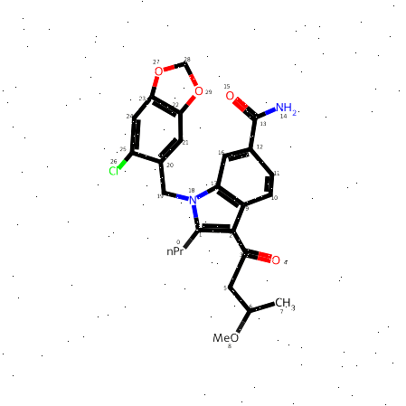 CCCc1c(C(=O)CC(C)OC)c2ccc(C(N)=O)cc2n1Cc1cc2c(cc1Cl)OCO2